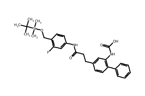 CC(C)(C)[Si](C)(C)OCc1ccc(NC(=O)CCc2ccc(-c3ccccc3)c(NC(=O)O)c2)cc1F